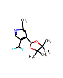 Cc1cc(B2OC(C)(C)C(C)(C)O2)c(C(F)F)cn1